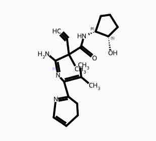 C#CC(C)(C(=O)N[C@@H]1CCC[C@@H]1O)/C(N)=N\C(C1=NC=CCC1)=C(C)C